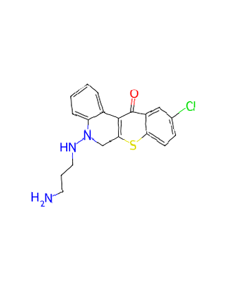 NCCCNN1Cc2sc3ccc(Cl)cc3c(=O)c2-c2ccccc21